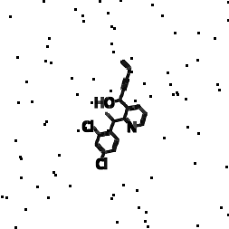 C=CC#CC(O)c1cccnc1C(C)c1ccc(Cl)cc1Cl